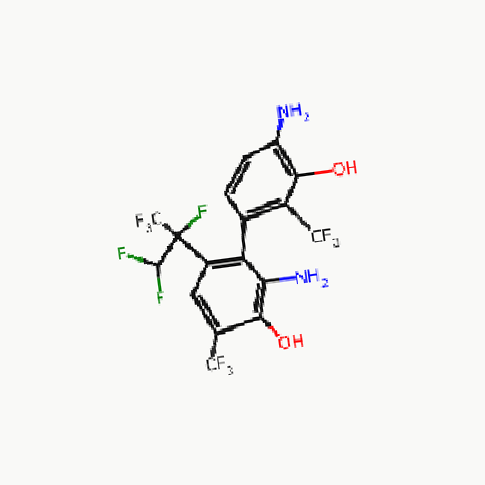 Nc1ccc(-c2c(C(F)(C(F)F)C(F)(F)F)cc(C(F)(F)F)c(O)c2N)c(C(F)(F)F)c1O